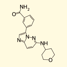 NC(=O)c1cccc(-c2cnc3ccc(NC4CCOCC4)nn23)c1